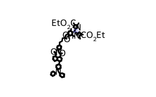 CCOC(=O)C1=C/C(=C(/c2cc(C(=O)OCC)c(C)[nH]2)c2c(C)cc(OC(=O)CCCc3ccc(N4C(=O)c5cccc6c(-c7ccc(N(c8ccccc8)c8ccccc8)cc7)ccc(c56)C4=O)cc3)cc2C)N=C1C